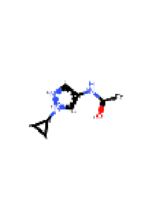 CCC(=O)Nc1cnn(C2CC2)c1